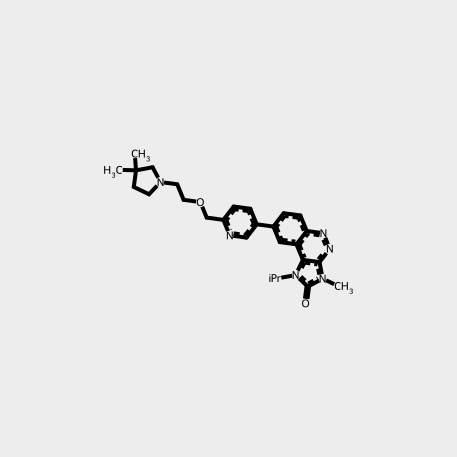 CC(C)n1c(=O)n(C)c2nnc3ccc(-c4ccc(COCCN5CCC(C)(C)C5)nc4)cc3c21